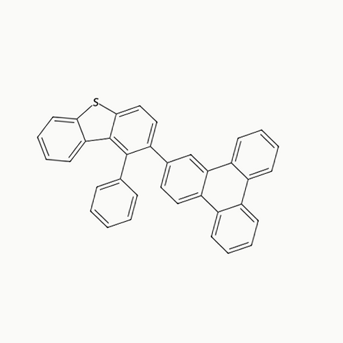 c1ccc(-c2c(-c3ccc4c5ccccc5c5ccccc5c4c3)ccc3sc4ccccc4c23)cc1